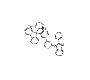 CCc1ccccc1C1(c2cc(-c3cccc(-n4c(-c5ccccc5)nc5ccccc54)c3)ccc2CC)c2ccccc2-c2ccccc21